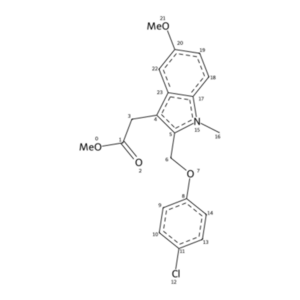 COC(=O)Cc1c(COc2ccc(Cl)cc2)n(C)c2ccc(OC)cc12